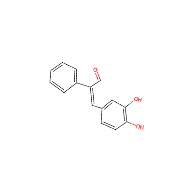 O=CC(=Cc1ccc(O)c(O)c1)c1ccccc1